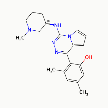 Cc1cc(C)c(-c2nnc(N[C@@H]3CCCN(C)C3)n3cccc23)c(O)c1